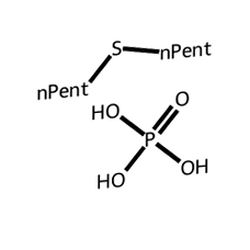 CCCCCSCCCCC.O=P(O)(O)O